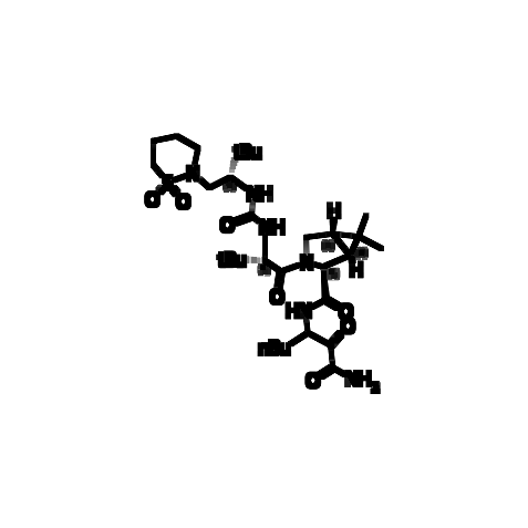 CCCCC(NC(=O)[C@@H]1[C@@H]2[C@H](CN1C(=O)[C@@H](NC(=O)N[C@H](CN1CCCCS1(=O)=O)C(C)(C)C)C(C)(C)C)C2(C)C)C(=O)C(N)=O